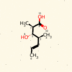 CC=C[C@H](C)[C@H](O)[C@@H](C)C(=O)O